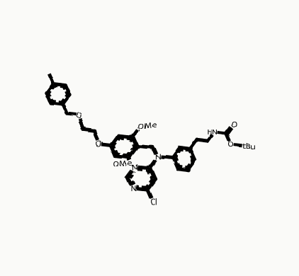 COc1cc(OCCOCc2ccc(C)cc2)cc(OC)c1CN(c1cccc(CCNC(=O)OC(C)(C)C)c1)c1cc(Cl)ncn1